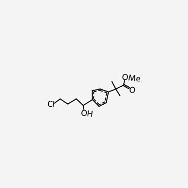 COC(=O)C(C)(C)c1ccc(C(O)CCCCl)cc1